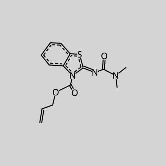 C=CCOC(=O)n1c(=NC(=O)N(C)C)sc2ccccc21